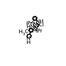 Cc1cc(Nc2ncc(Cl)c(Nc3ccccc3SC(C)C)n2)c(OC(C)C)cc1C1CCNCC1